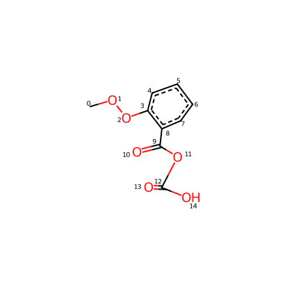 COOc1ccccc1C(=O)OC(=O)O